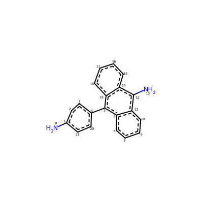 Nc1ccc(-c2c3ccccc3c(N)c3ccccc23)cc1